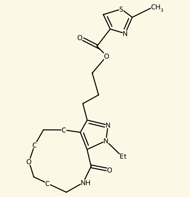 CCn1nc(CCCOC(=O)c2csc(C)n2)c2c1C(=O)NCCCOCCC2